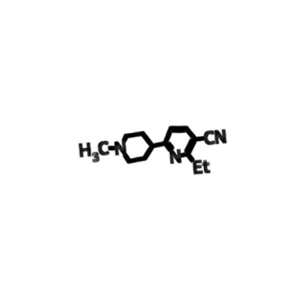 CCc1nc(C2CCN(C)CC2)ccc1C#N